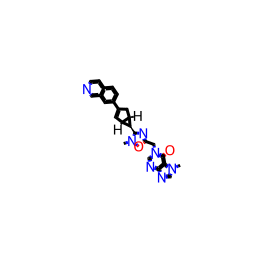 CN1OC(Cn2cnc3ncn(C)c3c2=O)=NC1[C@H]1[C@@H]2C=C(c3ccc4ccncc4c3)C[C@@H]21